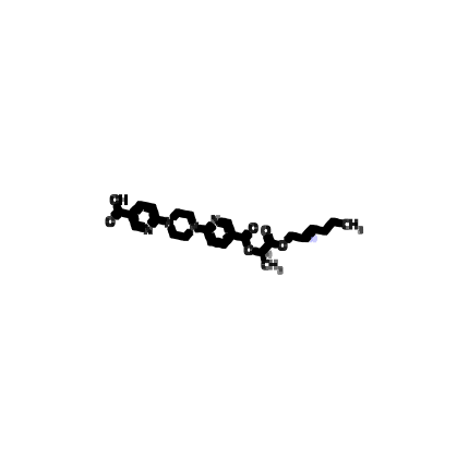 CCC/C=C/COC(=O)[C@@H](C)OC(=O)c1ccc(N2CCN(c3ccc(C(=O)O)cn3)CC2)nc1